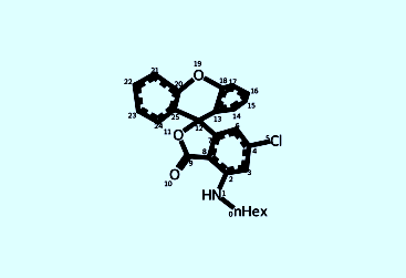 CCCCCCNc1cc(Cl)cc2c1C(=O)OC21c2ccccc2Oc2ccccc21